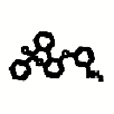 Nc1cccc(Oc2ccccc2-c2ccccc2S(=O)(=O)c2ccccc2)c1